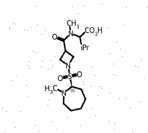 CC(C)C(C(=O)O)N(C)C(=O)C1CN(S(=O)(=O)[C@H]2CCCCCN2C)C1